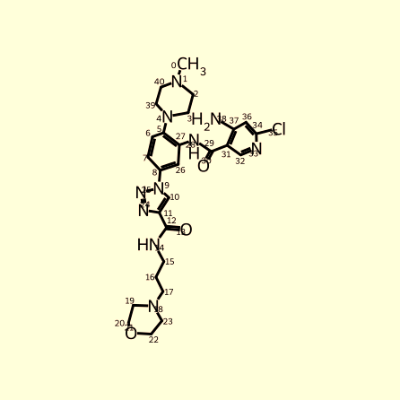 CN1CCN(c2ccc(-n3cc(C(=O)NCCCN4CCOCC4)nn3)cc2NC(=O)c2cnc(Cl)cc2N)CC1